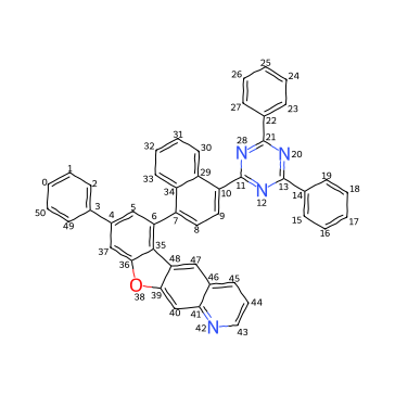 c1ccc(-c2cc(-c3ccc(-c4nc(-c5ccccc5)nc(-c5ccccc5)n4)c4ccccc34)c3c(c2)oc2cc4ncccc4cc23)cc1